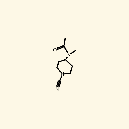 CC(=O)N(C)C1CCN(C#N)CC1